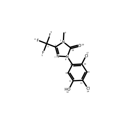 Cn1c(C(F)(F)F)nn(-c2cc(O)c(Cl)cc2Cl)c1=O